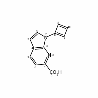 O=C(O)c1ccc2ccn(C3=CC=C3)c2n1